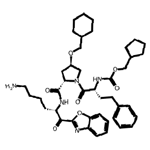 NCCCC[C@H](NC(=O)[C@@H]1C[C@@H](OCC2CCCCC2)CN1C(=O)[C@@H](CCc1ccccc1)NC(=O)OCC1CCCC1)C(=O)c1nc2ccccc2o1